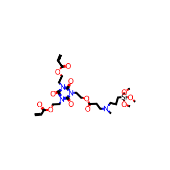 C=CC(=O)OCCn1c(=O)n(CCOC(=O)C=C)c(=O)n(CCOC(=O)CCN(C)CCC[Si](OC)(OC)OC)c1=O